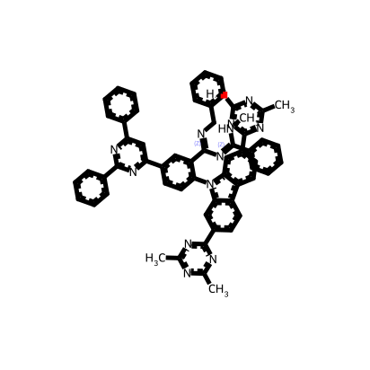 CN/C(=N\C(=N/Cc1ccccc1)c1cc(-c2cc(-c3ccccc3)nc(-c3ccccc3)n2)ccc1-n1c2cc(-c3nc(C)nc(C)n3)ccc2c2ccc(-c3nc(C)nc(C)n3)cc21)c1ccccc1